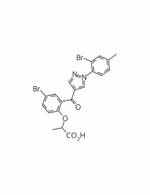 Cc1ccc(-n2cc(C(=O)c3cc(Br)ccc3OC(C)C(=O)O)cn2)c(Br)c1